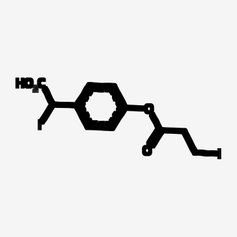 O=C(CCI)Oc1ccc(C(I)C(=O)O)cc1